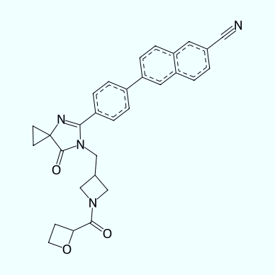 N#Cc1ccc2cc(-c3ccc(C4=NC5(CC5)C(=O)N4CC4CN(C(=O)C5CCO5)C4)cc3)ccc2c1